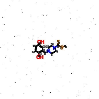 CSC(=S)N1CCN(Cc2cc(O)ccc2O)CC1